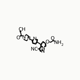 C#CC(=O)N1CCN(c2ccc(-c3cc(OCC(N)=O)cn4ncc(C#N)c34)cn2)CC1